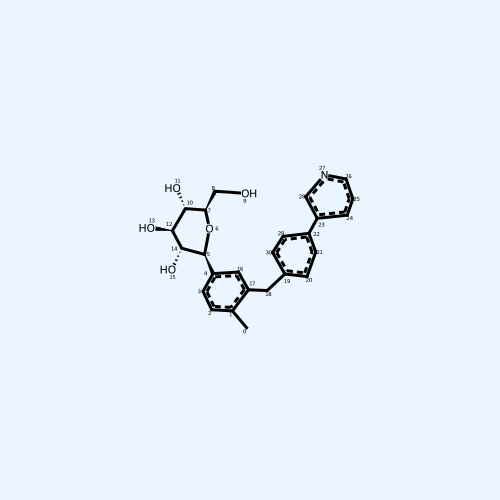 Cc1ccc([C@@H]2O[C@H](CO)[C@@H](O)[C@H](O)[C@H]2O)cc1Cc1ccc(-c2cccnc2)cc1